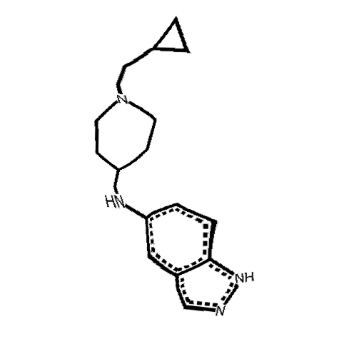 c1cc2[nH]ncc2cc1NC1CCN(CC2CC2)CC1